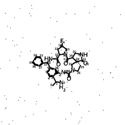 CC(N)c1ccc([C@@H](NC(=O)C2C[C@@H](F)CN2C(=O)C2CNC(=O)[C@]23CCN(C(N)=O)C3)c2ccccc2)cc1